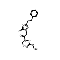 CC(C)C[C@H](NC(=O)OC(C)(C)C)C(=O)Cn1nc(CCc2ccccc2)oc1=O